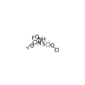 O=c1[nH]c(CS[C@H]2CC[C@H](OCCCl)CC2)nc2cc(OCC3CC3)cc(F)c12